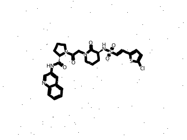 O=C(Nc1cnc2ccccc2c1)[C@@H]1CCCN1C(=O)CN1CCC[C@H](NS(=O)(=O)/C=C/c2ccc(Cl)s2)C1=O